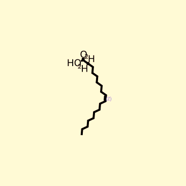 [2H]C([2H])(CCCCCC/C=C\CCCCCCCC)C(=O)O